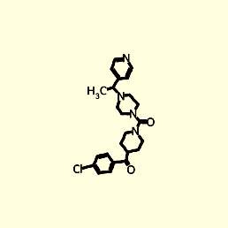 CC(c1ccncc1)N1CCN(C(=O)N2CCC(C(=O)c3ccc(Cl)cc3)CC2)CC1